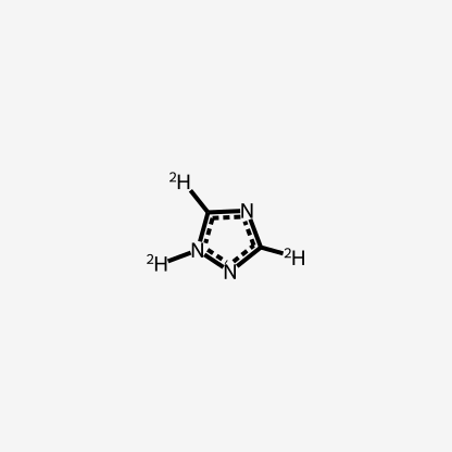 [2H]c1nc([2H])n([2H])n1